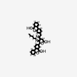 CCCCc1nc(Cc2ccc(-c3ccccc3C(=O)O)cc2)c(CC(=O)O)c(Cc2ccc(-c3ccccc3)c(C(=O)O)c2)n1